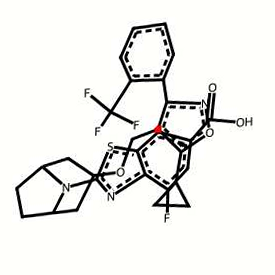 O=C(O)c1cc(F)c2nc(N3C4CCC3CC(OCc3c(-c5ccccc5C(F)(F)F)noc3C3CC3)C4)sc2c1